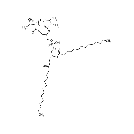 CCCCCCCCCCCCCC(=O)OC[C@H](COP(=O)(O)OCC(COC(=O)[C@@H](N)C(C)C)OC(=O)[C@@H](N)C(C)C)OC(=O)CCCCCCCCCCCCC